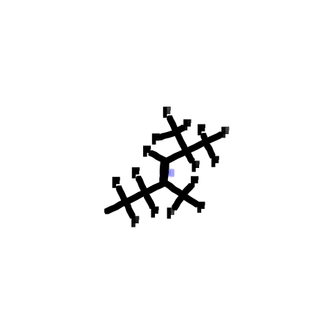 CC(F)(F)C(F)(F)/C(=C(\F)C(F)(C(F)(F)F)C(F)(F)F)C(F)(F)F